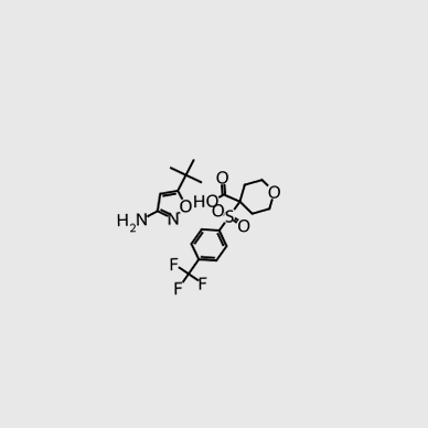 CC(C)(C)c1cc(N)no1.O=C(O)C1(S(=O)(=O)c2ccc(C(F)(F)F)cc2)CCOCC1